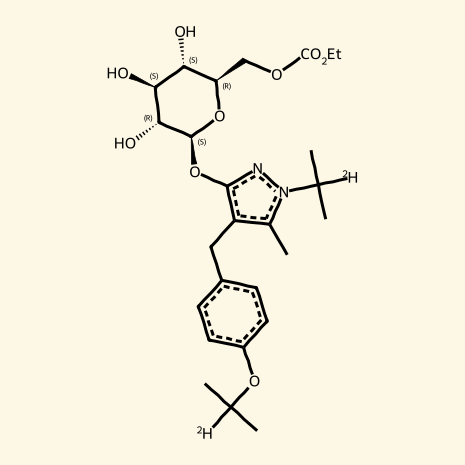 [2H]C(C)(C)Oc1ccc(Cc2c(O[C@@H]3O[C@H](COC(=O)OCC)[C@@H](O)[C@H](O)[C@H]3O)nn(C([2H])(C)C)c2C)cc1